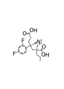 CCCC(CCC)(CC(C#N)(CCC(=O)O)c1ccc(F)cc1F)C(=O)O